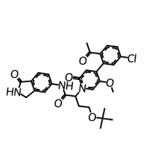 COc1cn(C(CCOC(C)(C)C)C(=O)Nc2ccc3c(c2)CNC3=O)c(=O)cc1-c1cc(Cl)ccc1C(C)=O